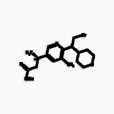 COC(=O)C[C@@H](C)c1cnc(N(CC(C)C)C2CCOCC2)c(N)c1